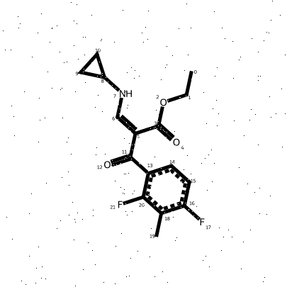 CCOC(=O)C(=CNC1CC1)C(=O)c1ccc(F)c(C)c1F